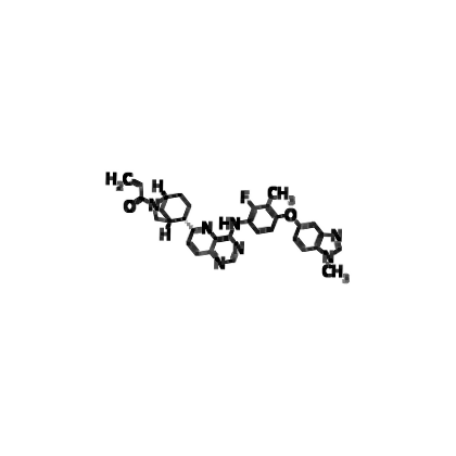 C=CC(=O)N1C[C@@H]2C[C@H]1CC[C@@H]2c1ccc2ncnc(Nc3ccc(Oc4ccc5c(c4)ncn5C)c(C)c3F)c2n1